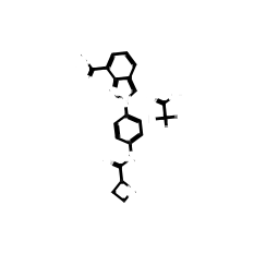 NC(=O)c1cccc2cn(-c3ccc(NC(=O)C4CCN4)cc3)nc12.O=C(O)C(F)(F)F